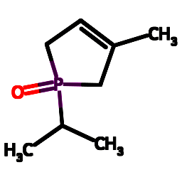 CC1=CCP(=O)(C(C)C)C1